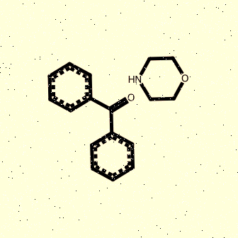 C1COCCN1.O=C(c1ccccc1)c1ccccc1